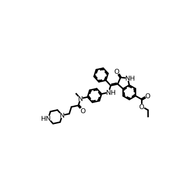 CCOC(=O)c1ccc2c(c1)NC(=O)C2=C(Nc1ccc(N(C)C(=O)CCN2CCNCC2)cc1)c1ccccc1